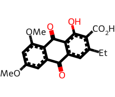 CCc1cc2c(c(O)c1C(=O)O)C(=O)c1c(OC)cc(OC)cc1C2=O